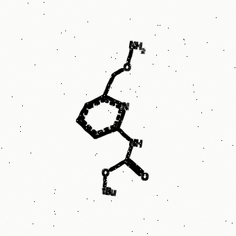 CC(C)(C)OC(=O)Nc1cccc(CON)n1